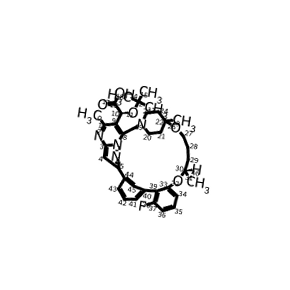 Cc1nc2cc3nn2c(c1[C@H](OC(C)(C)C)C(=O)O)N1CCC(C)(CC1)OCCC[C@H](C)Oc1cccc(F)c1-c1cccc-3c1